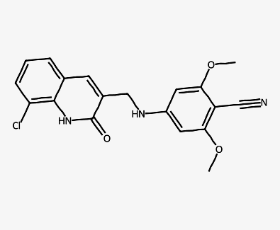 COc1cc(NCc2cc3cccc(Cl)c3[nH]c2=O)cc(OC)c1C#N